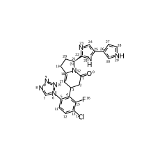 O=C1CC(c2c(-n3cnnn3)ccc(Cl)c2F)C=C2CC[C@@H](c3ncc(-c4cc[nH]c4)[nH]3)N12